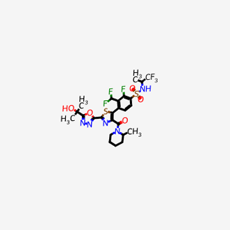 CC1CCCCN1C(=O)c1nc(-c2nnc(C(C)(C)O)o2)sc1-c1ccc(S(=O)(=O)NC(C)C(F)(F)F)c(F)c1C(F)F